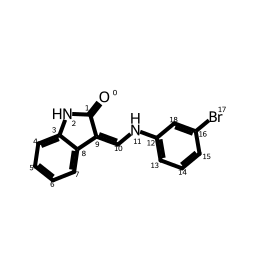 O=C1Nc2ccccc2C1=CNc1cccc(Br)c1